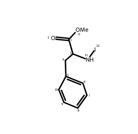 COC(=O)C(Cc1ccccc1)NI